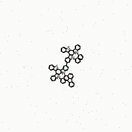 c1ccc(-n2c3ccccc3c3c4sc5ccccc5c4c4c5ccc(-c6ccc7c(c6)c6c8sc9ccccc9c8c8c9ccccc9n(-c9ccccc9)c8c6n7-c6ccc7c8c(cccc68)-c6ccccc6-7)cc5n(-c5ccccc5)c4c32)cc1